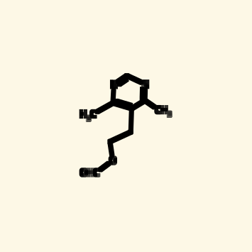 Cc1ncnc(C)c1CCOC=O